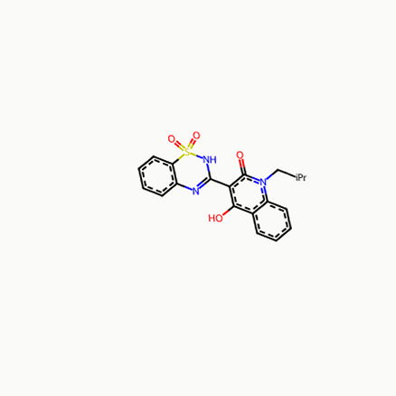 CC(C)Cn1c(=O)c(C2=Nc3ccccc3S(=O)(=O)N2)c(O)c2ccccc21